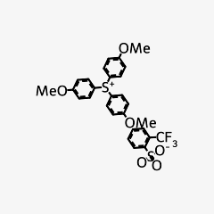 COc1ccc([S+](c2ccc(OC)cc2)c2ccc(OC)cc2)cc1.O=S(=O)([O-])c1ccccc1C(F)(F)F